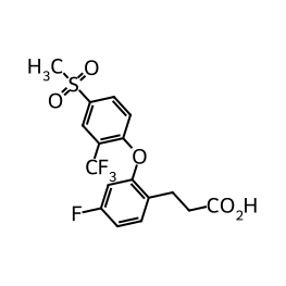 CS(=O)(=O)c1ccc(Oc2cc(F)ccc2CCC(=O)O)c(C(F)(F)F)c1